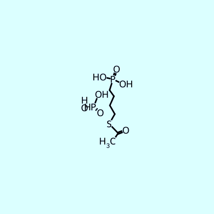 CC(=O)SCCCCP(=O)(O)O.O=[PH](O)O